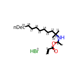 Br.C=CC(=O)OC(C)NC(C)(C)CCCCCCCCCCCCCCCCC